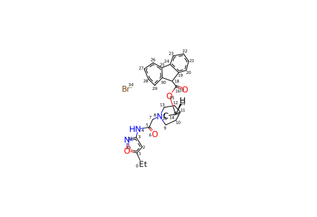 CCc1cc(NC(=O)C[N+]23CCC(CC2)[C@@H](OC(=O)C2c4ccccc4-c4ccccc42)C3)no1.[Br-]